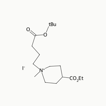 CCOC(=O)C1CC[N+](C)(CCCC(=O)OC(C)(C)C)CC1.[I-]